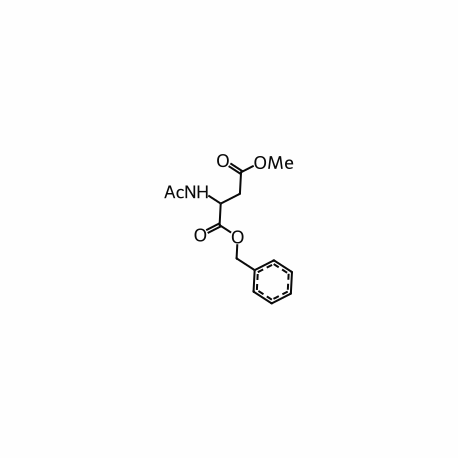 COC(=O)CC(NC(C)=O)C(=O)OCc1ccccc1